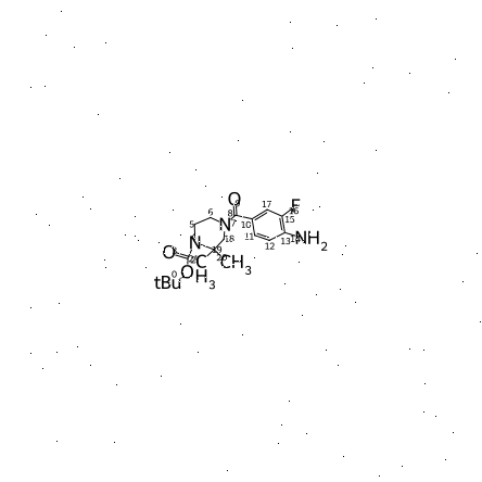 CC(C)(C)OC(=O)N1CCN(C(=O)c2ccc(N)c(F)c2)CC1(C)C